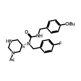 CC(=O)N1CNC[C@H](N(Cc2ccc(F)cc2)C(=O)NCc2ccc(OCC(C)C)cc2)C1